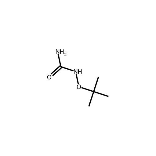 CC(C)(C)ONC(N)=O